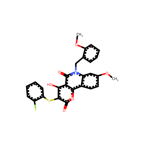 COc1ccc2c3oc(=O)c(Sc4ccccc4F)c(O)c3c(=O)n(Cc3ccccc3OC)c2c1